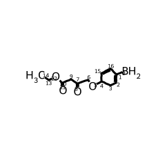 BC1=CCC(OCC(=O)CC(=O)OCC)C=C1